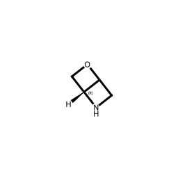 C1N[C@@H]2COC12